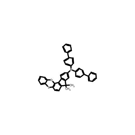 CC1(C)c2cc(N(c3ccc(-c4ccccc4)cc3)c3ccc(-c4ccccc4)cc3)ccc2-c2c1ccc1c2Oc2ccccc2S1